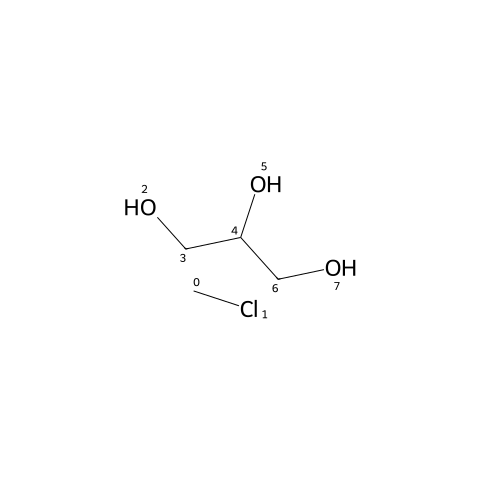 CCl.OCC(O)CO